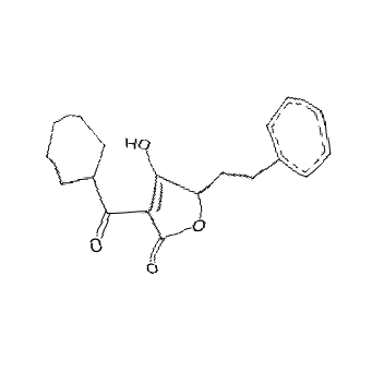 O=C1OC(CCc2ccccc2)C(O)=C1C(=O)C1CCCCC1